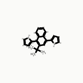 CC(C)(C)c1cc(-c2cccs2)c2ccccc2c1-c1cccs1